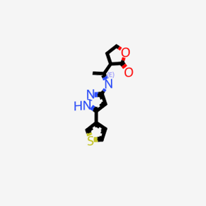 C/C(=N\c1cc(-c2ccsc2)[nH]n1)C1CCOC1=O